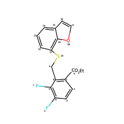 CCOC(=O)c1ccc(F)c(F)c1CSc1cccc2ccoc12